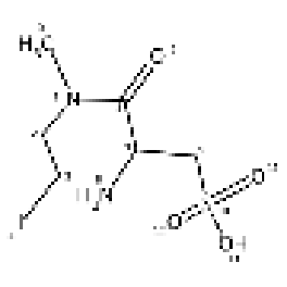 CN(CCI)C(=O)C(N)CS(=O)(=O)O